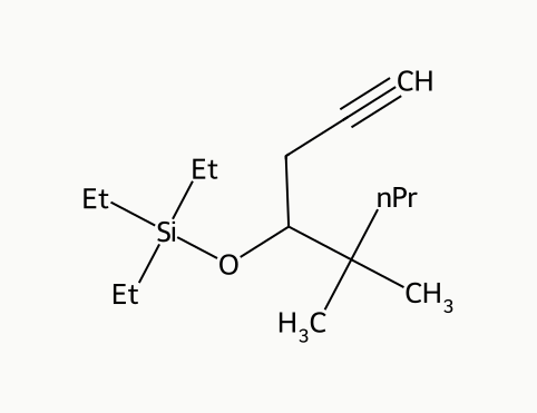 C#CCC(O[Si](CC)(CC)CC)C(C)(C)CCC